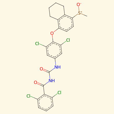 C[S+]([O-])c1ccc(Oc2c(Cl)cc(NC(=O)NC(=O)c3c(Cl)cccc3Cl)cc2Cl)c2c1CCCC2